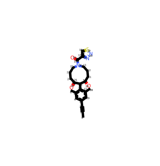 CC#Cc1cc(C)c(C2C(=O)CCCN(C(=O)c3csnn3)CCCC2=O)c(C)c1